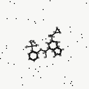 CC(F)(F)c1ccccc1CN(I)c1nc(NC2CC2)nc2ccsc12